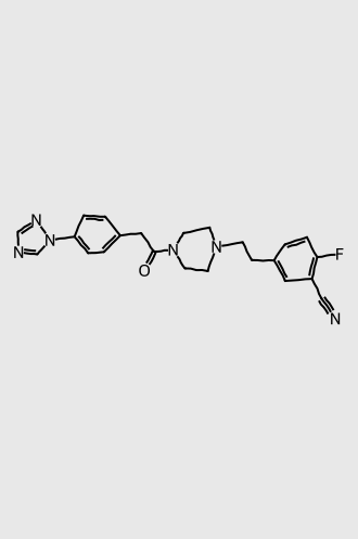 N#Cc1cc(CCN2CCN(C(=O)Cc3ccc(-n4cncn4)cc3)CC2)ccc1F